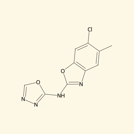 Cc1cc2nc(Nc3nnco3)oc2cc1Cl